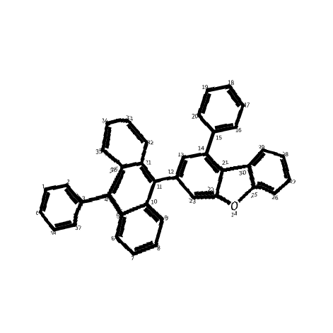 c1ccc(-c2c3ccccc3c(-c3cc(-c4ccccc4)c4c(c3)oc3ccccc34)c3ccccc23)cc1